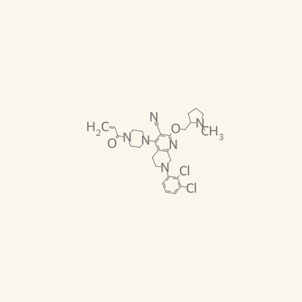 C=CC(=O)N1CCN(c2c(C#N)c(OCC3CCCN3C)nc3c2CCN(c2cccc(Cl)c2Cl)C3)CC1